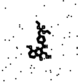 CCOP(=O)(Cc1ccc(Nc2nc3c(OC)cccn3c(=O)c2CO)cc1)OCC